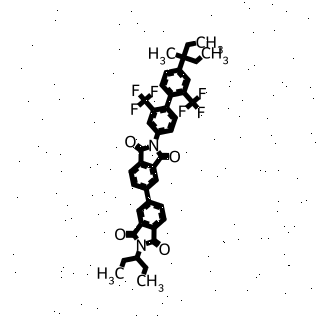 CCC(CC)N1C(=O)c2ccc(-c3ccc4c(c3)C(=O)N(c3ccc(-c5ccc(C(C)(CC)CC)cc5C(F)(F)F)c(C(F)(F)F)c3)C4=O)cc2C1=O